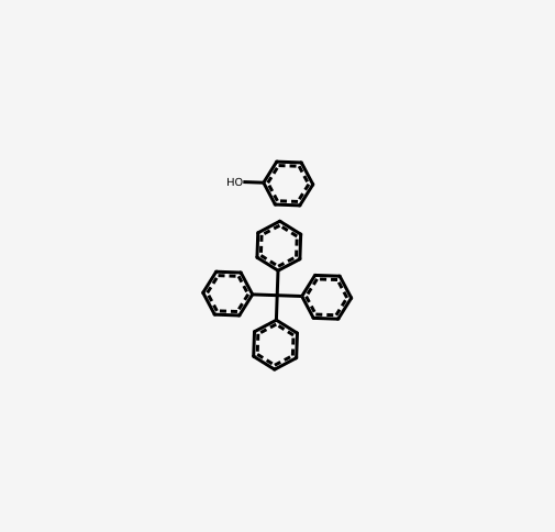 Oc1ccccc1.c1ccc(C(c2ccccc2)(c2ccccc2)c2ccccc2)cc1